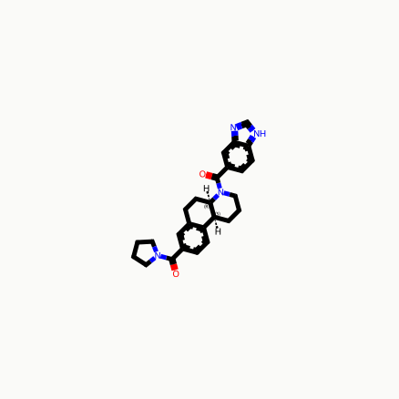 O=C(c1ccc2c(c1)CC[C@@H]1[C@H]2CCCN1C(=O)c1ccc2[nH]cnc2c1)N1CCCC1